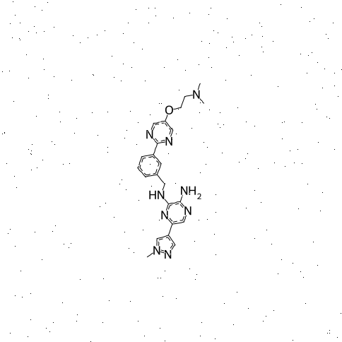 CN(C)CCOc1cnc(-c2cccc(CNc3nc(-c4cnn(C)c4)cnc3N)c2)nc1